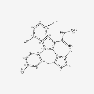 Cc1noc(C)c1-c1c(C(=N)NO)c2c(F)ccc(F)c2n1-c1ccc(O)cc1